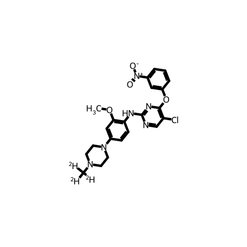 [2H]C([2H])([2H])N1CCN(c2ccc(Nc3ncc(Cl)c(Oc4cccc([N+](=O)[O-])c4)n3)c(OC)c2)CC1